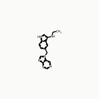 CCNc1c[nH]c2ccc(Cn3cnc4ncncc43)cc12